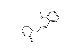 COc1ccccc1/C=C/CC1CCC=CC1=O